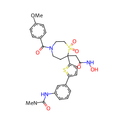 CNC(=O)Nc1cccc(-c2ccc(C3(CC(=O)NO)CCN(C(=O)c4ccc(OC)cc4)CCS3(=O)=O)s2)c1